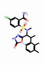 Cc1ccc(F)c(C(C)C(c2n[nH]c(=O)o2)N(C)S(=O)(=O)c2ccc(Cl)cc2C(N)=O)c1C